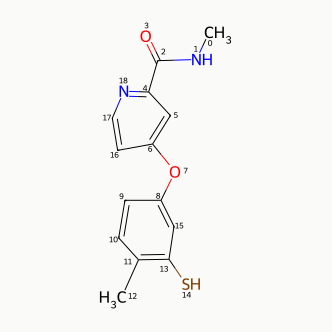 CNC(=O)c1cc(Oc2ccc(C)c(S)c2)ccn1